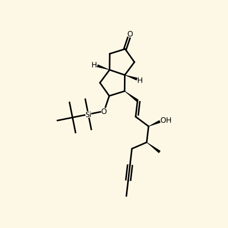 CC#CC[C@H](C)[C@H](O)/C=C/[C@H]1C(O[Si](C)(C)C(C)(C)C)C[C@@H]2CC(=O)C[C@@H]21